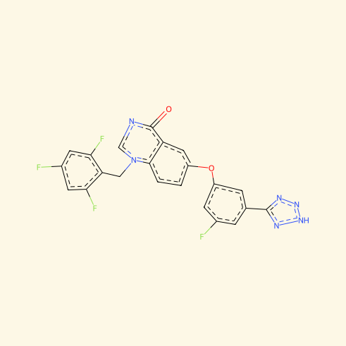 O=c1ncn(Cc2c(F)cc(F)cc2F)c2ccc(Oc3cc(F)cc(-c4nn[nH]n4)c3)cc12